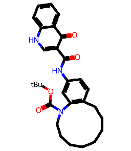 CC(C)(C)OC(=O)N1CCCCCCCCc2ccc(NC(=O)c3c[nH]c4ccccc4c3=O)cc21